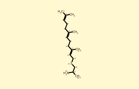 CC(C)=CCC/C(C)=C/CC/C(C)=C/CSCC(C)N